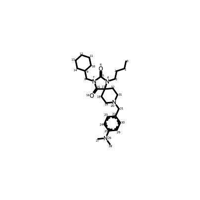 CCCCN1C(=O)N(CC2CCCCC2)C(=O)C12CCN(Cc1ccc(N(C)C)cc1)CC2